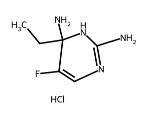 CCC1(N)NC(N)=NC=C1F.Cl